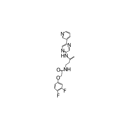 C=C(CCNC(=O)COc1ccc(F)c(F)c1)Nc1cnc(-c2cccnc2)cn1